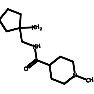 CN1CCC(C(=O)NCC2(N)CCCC2)CC1